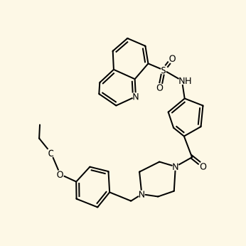 CCCOc1ccc(CN2CCN(C(=O)c3ccc(NS(=O)(=O)c4cccc5cccnc45)cc3)CC2)cc1